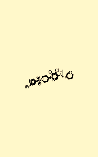 CC(C)n1cc(S(=O)(=O)N2CCC(n3ncc(NC[C@H]4CCCOC4)c(Cl)c3=O)CC2)cn1